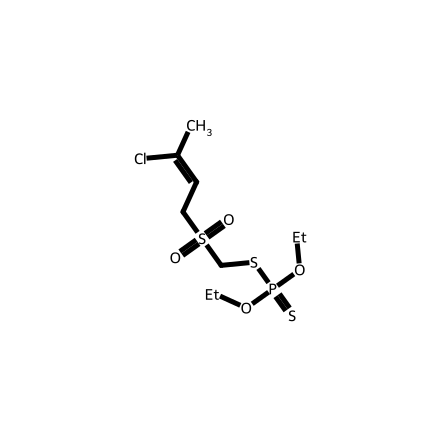 CCOP(=S)(OCC)SCS(=O)(=O)CC=C(C)Cl